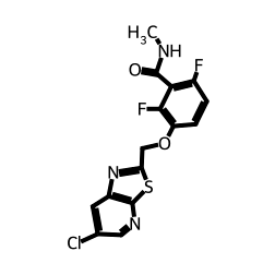 CNC(=O)c1c(F)ccc(OCc2nc3cc(Cl)cnc3s2)c1F